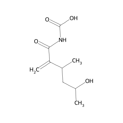 C=C(C(=O)NC(=O)O)C(C)CC(C)O